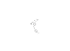 CCCC(C(=O)O)c1ccc(C(=O)C=Cc2ccc(N(CC)CC)cc2)c2c1C=CC(C)(C)O2